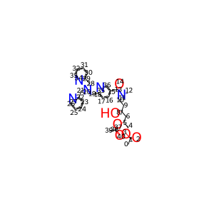 CC(=O)OC[C@H](C[C@H](O)CCN(C)C(=O)c1ccc(CN(Cc2ccccn2)Cc2ccccn2)nc1)OC(C)=O